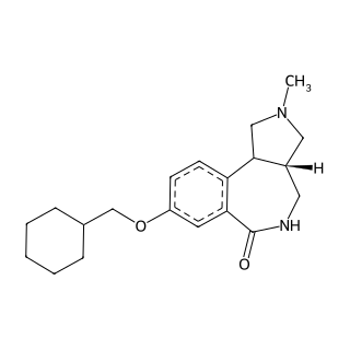 CN1CC2c3ccc(OCC4CCCCC4)cc3C(=O)NC[C@H]2C1